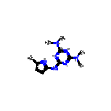 Cc1ccc(Nc2nc(N(C)C)nc(N(C)C)n2)[nH]1